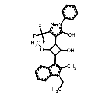 CCn1c(C)c(C2C(O)C(c3c(C(F)(F)F)nn(-c4ccccc4)c3O)C2OC)c2ccccc21